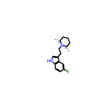 C[C@@H]1CCC[C@H](C)N1CCc1c[nH]c2ccc(F)cc12